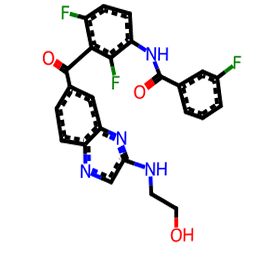 O=C(Nc1ccc(F)c(C(=O)c2ccc3ncc(NCCO)nc3c2)c1F)c1cccc(F)c1